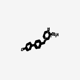 O=C(O)[C@H]1CN(Cc2ccc(-c3ccc(Cl)cc3)cc2)CCN1